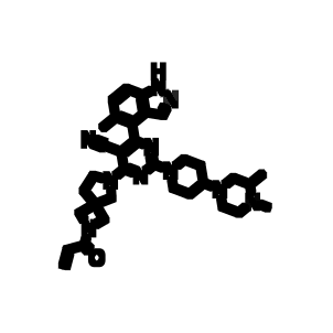 C=CC(=O)N1CC2(CCN(c3nc(N4CCC(N5CCN(C)C(C)C5)CC4)nc(-c4c(C)ccc5[nH]ncc45)c3C#N)C2)C1